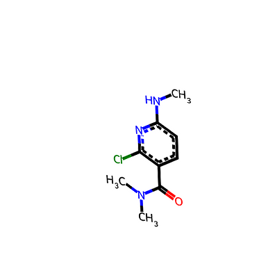 CNc1ccc(C(=O)N(C)C)c(Cl)n1